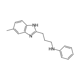 Cc1ccc2[nH]c(CCCNc3ccccc3)nc2c1